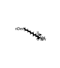 CCCCCCCCCCCCCCCCCCCCC(C(=O)NCCC)N(C)C